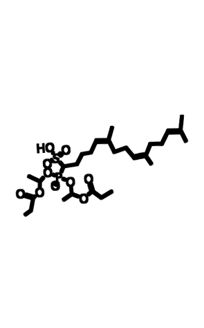 CCC(=O)OC(C)OP(=O)(OC(C)OC(=O)CC)C(CCCC=C(C)CCC=C(C)CCC=C(C)C)S(=O)(=O)O